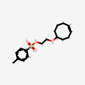 Cc1ccc(S(=O)(=O)OCCOC2CC/C=C\CCC2)cc1